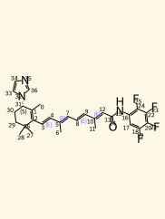 CC1=C(/C=C/C(C)=C/C=C/C(C)=C/C(=O)Nc2cc(F)c(F)c(F)c2F)C(C)(C)CC[C@@H]1n1ccnc1